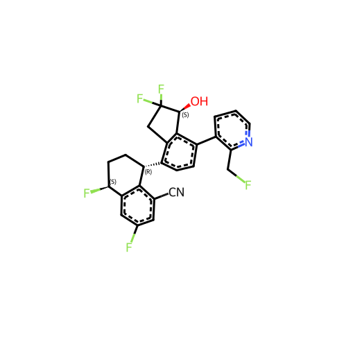 N#Cc1cc(F)cc2c1[C@@H](c1ccc(-c3cccnc3CF)c3c1CC(F)(F)[C@H]3O)CC[C@@H]2F